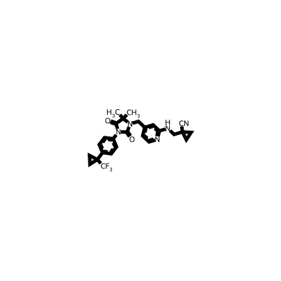 CC1(C)C(=O)N(c2ccc(C3(C(F)(F)F)CC3)cc2)C(=O)N1Cc1ccnc(NCC2(C#N)CC2)c1